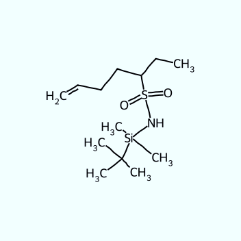 C=CCCC(CC)S(=O)(=O)N[Si](C)(C)C(C)(C)C